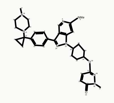 CNc1cc2c(cn1)c(-c1ccc(C3(N4CCN(C)CC4)CC3)cc1)nn2C1CCC(Oc2ccc(=O)n(C)n2)CC1